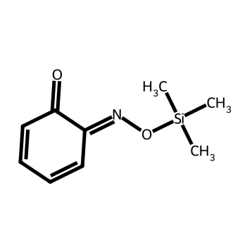 C[Si](C)(C)ON=C1C=CC=CC1=O